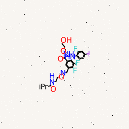 CC(C)C(=O)NCCON=Cc1cc(C(=O)NOCCO)c(Nc2ccc(I)cc2F)c(F)c1F